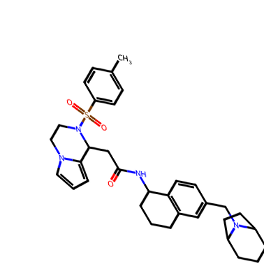 Cc1ccc(S(=O)(=O)N2CCn3cccc3C2CC(=O)NC2CCCc3cc(CN4C5CCCC4CC5)ccc32)cc1